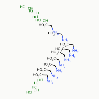 Cl.Cl.Cl.Cl.Cl.Cl.Cl.Cl.Cl.Cl.Cl.Cl.NCC(=O)O.NCC(=O)O.NCC(=O)O.NCC(=O)O.NCC(=O)O.NCC(=O)O.NCC(=O)O.NCC(=O)O.NCC(=O)O